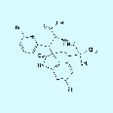 CC(C)(C)CC1NC(C(=O)O)C(c2cccc(Br)n2)C12C(=O)Nc1cc(Cl)ccc12